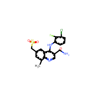 Cc1cc(C[SH](=O)=O)cc2c(Nc3cccc(Cl)c3F)c(C(N)=O)cnc12